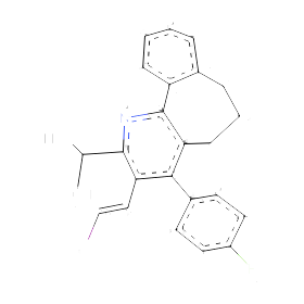 CC(C)c1nc2c(c(-c3ccc(F)cc3)c1C=CI)CCCc1ccccc1-2